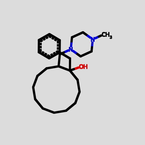 CN1CCN(CC2CCCCCCCCCCC2(O)Cc2ccccc2)CC1